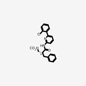 O=C(O)C[C@@H](Cc1ccccc1)C(=O)Nc1cccc(-c2ccccc2Cl)n1